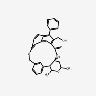 CC1C[C@H]2OC(=O)c3cc4cc(ccc4c(-c4ccccc4)c3CO)OCc3cccc(c3)C2C(C)O1